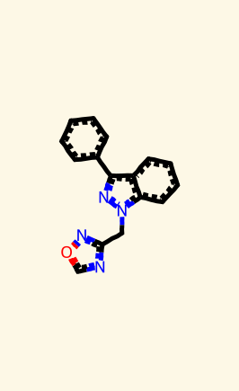 c1ccc(-c2nn(Cc3ncon3)c3ccccc23)cc1